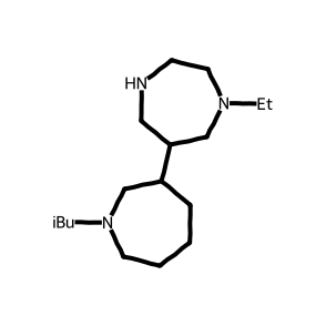 CCC(C)N1CCCCC(C2CNCCN(CC)C2)C1